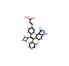 O=C(O)C=Cc1ccc(C(=C(c2ccc3[nH]nc(F)c3c2)c2ccncc2Cl)C2CCC2)cc1